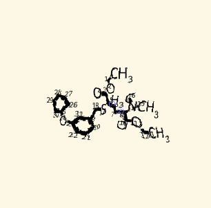 CCOC(=O)/C(=C/C=C(/C(=O)OCC)N(C)C)SCc1cccc(Oc2ccccc2)c1